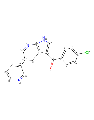 O=C(c1ccc(Cl)cc1)c1c[nH]c2ncc(-c3cccnc3)cc12